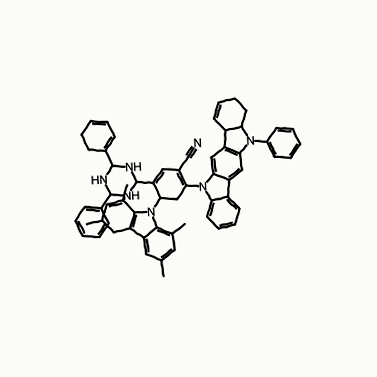 CC1=CC(C)Cc2c1n(C1CC(n3c4ccccc4c4cc5c(cc43)C3C=CCCC3N5c3ccccc3)=C(C#N)C=C1C1NC(C3=CC=CCC3)NC(c3ccccc3)N1)c1c(C)cc(C)cc21